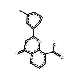 Cc1cccc(-c2cc(=O)c3cccc(C(=O)Cl)c3o2)c1